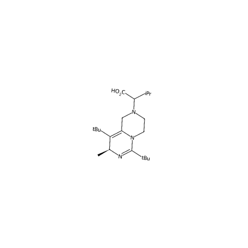 CC(C)C(C(=O)O)N1CCN2C(C(C)(C)C)=N[C@@H](C)C(C(C)(C)C)=C2C1